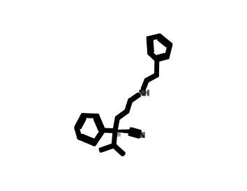 CC(C)[C@@](C#N)(CCCNCCc1ccccc1)c1ccccc1